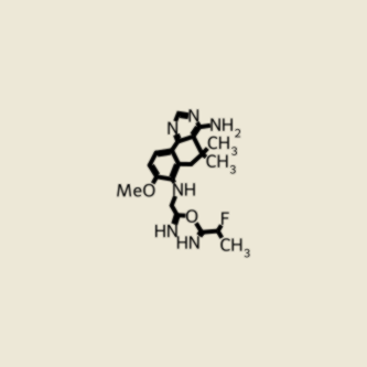 COc1ccc2c(c1NCC(=N)OC(=N)C(C)F)CC(C)(C)c1c(N)ncnc1-2